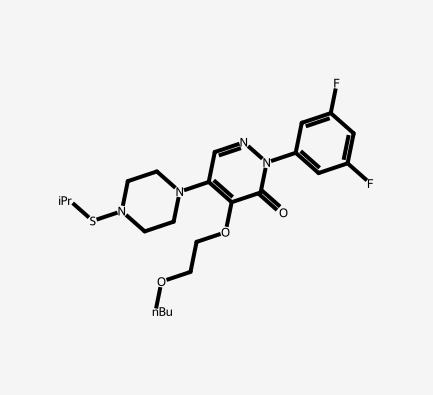 CCCCOCCOc1c(N2CCN(SC(C)C)CC2)cnn(-c2cc(F)cc(F)c2)c1=O